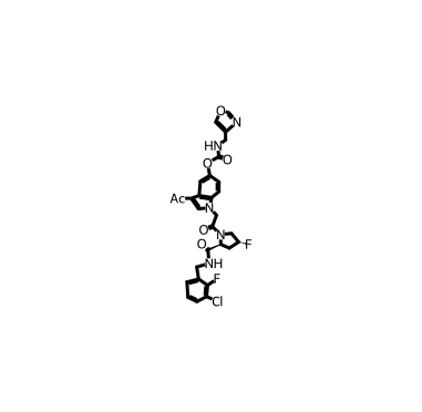 CC(=O)c1cn(CC(=O)N2C[C@H](F)C[C@H]2C(=O)NCc2cccc(Cl)c2F)c2ccc(OC(=O)NCc3cocn3)cc12